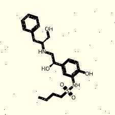 CCCCS(=O)(=O)Nc1cc([C@@H](O)CN[C@H](CO)Cc2ccccc2)ccc1O